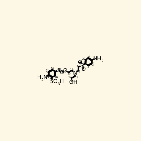 Nc1ccc(S(=O)(=O)CCN(CCO)CCOOSc2ccc(N)c(S(=O)(=O)O)c2)cc1